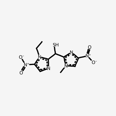 CCn1c([N+](=O)[O-])cnc1C(S)c1nc([N+](=O)[O-])cn1C